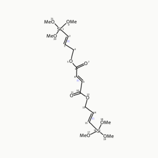 CO[Si](/C=C/COC(=O)/C=C/C(=O)OC/C=C/[Si](OC)(OC)OC)(OC)OC